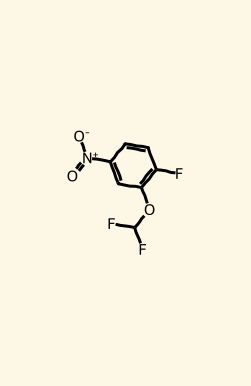 O=[N+]([O-])c1ccc(F)c(OC(F)F)c1